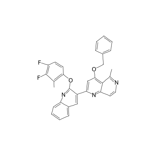 Cc1c(Oc2nc3ccccc3cc2-c2cc(OCc3ccccc3)c3c(C)nccc3n2)ccc(F)c1F